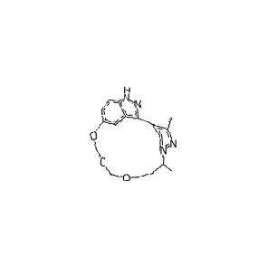 Cc1nn2cc1-c1n[nH]c3ccc(cc13)OCCCOCCC2C